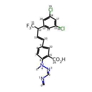 C=N/C=N\N(C)c1ccc(/C=C/C(c2cc(Cl)cc(Cl)c2)C(F)(F)F)cc1C(=O)O